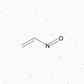 C=CN=O